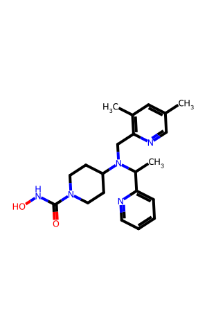 Cc1cnc(CN(C2CCN(C(=O)NO)CC2)C(C)c2ccccn2)c(C)c1